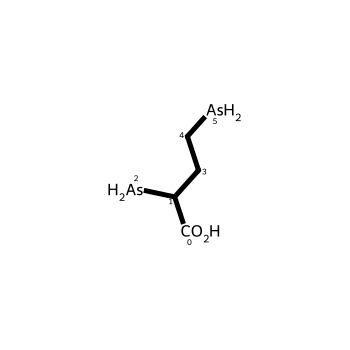 O=C(O)C([AsH2])CC[AsH2]